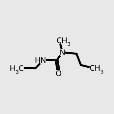 CCCN(C)C(=O)NCC